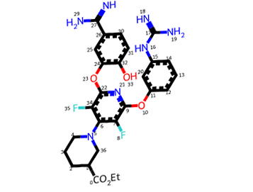 CCOC(=O)C1CCCN(c2c(F)c(Oc3cccc(NC(=N)N)c3)nc(Oc3cc(C(=N)N)ccc3O)c2F)C1